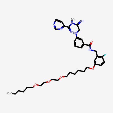 CN(C(=N)CNc1cccc(C(=O)NCc2cc(OCCCCCCOCCOCCOCCCCCC(=O)O)ccc2F)c1)C(=N)c1ccncn1